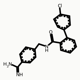 N=C(N)c1ccc(CNC(=O)c2ccccc2-c2ccc(Cl)cc2)cc1